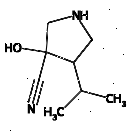 CC(C)C1CNCC1(O)C#N